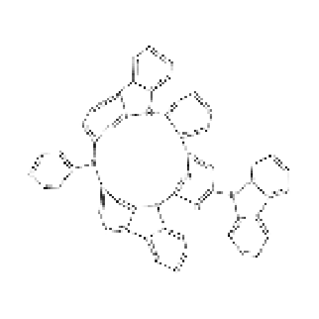 c1ccc(B2c3ccc4c5ccccc5n(c4c3)-c3nc(nc(-n4c5ccccc5c5ccccc54)n3)-c3ccccc3-n3c4ccccc4c4ccc2cc43)cc1